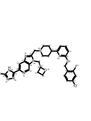 Fc1cc(Cl)ccc1COc1cccc(C2CCN(Cc3nc4cc(-c5nnc(C(F)(F)F)[nH]5)ncc4n3C[C@@H]3CCO3)CC2)n1